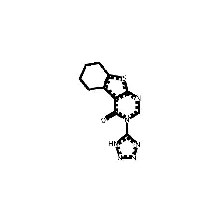 O=c1c2c3c(sc2ncn1-c1nnn[nH]1)CCCC3